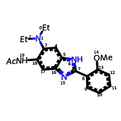 CCN(CC)c1cc2[nH]c(-c3ccccc3OC)nc2cc1NC(C)=O